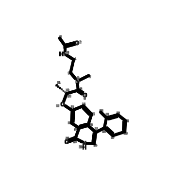 CC(=O)NCCN(C)C(=O)[C@@H](C)Oc1ccc2c(-c3ccccc3C)c[nH]c(=O)c2c1